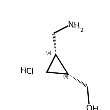 Cl.NC[C@H]1C[C@H]1CO